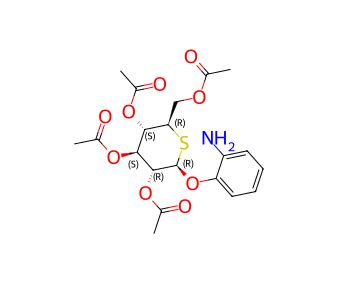 CC(=O)OC[C@H]1S[C@@H](Oc2ccccc2N)[C@H](OC(C)=O)[C@@H](OC(C)=O)[C@@H]1OC(C)=O